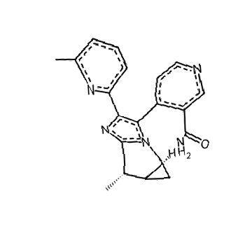 Cc1cccc(-c2nc3n(c2-c2ccncc2C(N)=O)[C@H]2CC2[C@@H]3C)n1